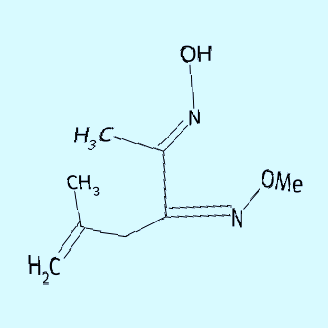 C=C(C)CC(=NOC)C(C)=NO